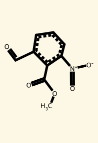 COC(=O)c1c(C=O)cccc1[N+](=O)[O-]